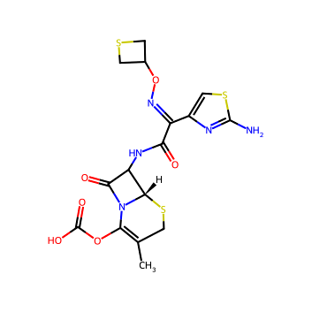 CC1=C(OC(=O)O)N2C(=O)C(NC(=O)C(=NOC3CSC3)c3csc(N)n3)[C@@H]2SC1